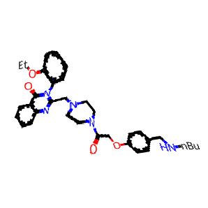 CCCCNCc1ccc(OCC(=O)N2CCN(Cc3nc4ccccc4c(=O)n3-c3ccccc3OCC)CC2)cc1